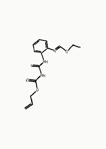 C=CCOC(=O)NC(=S)Nc1ccccc1N=COCC